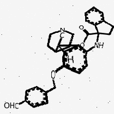 O=Cc1ccc(COc2ccc(NC3(C(=O)O[C@H]4CN5CCC4CC5)CCc4ccccc43)cc2)cc1